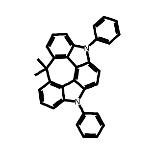 CC1(C)c2cccc3c2c2c4c5c1cccc5n(-c1ccccc1)c4ccc2n3-c1ccccc1